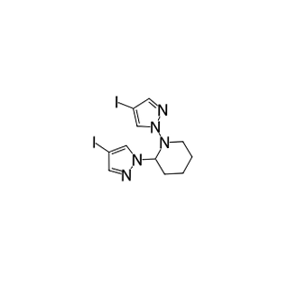 Ic1cnn(C2CCCCN2n2cc(I)cn2)c1